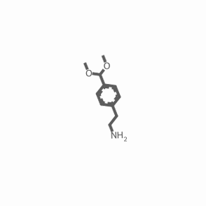 COC(OC)c1ccc(CCN)cc1